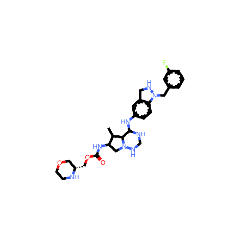 CC1C(NC(=O)OC[C@H]2COCCN2)CN2NCNC(Nc3ccc4c(c3)CNN4Cc3cccc(F)c3)C12